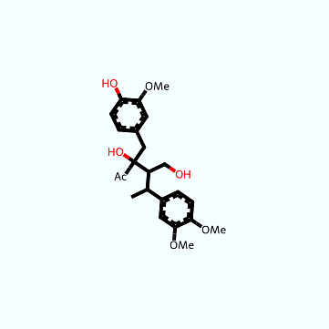 COc1cc(CC(O)(C(C)=O)C(CO)C(C)c2ccc(OC)c(OC)c2)ccc1O